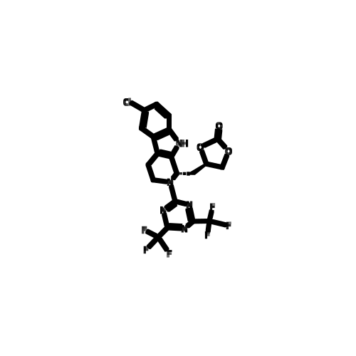 O=C1OC[C@@H](C[C@H]2c3[nH]c4ccc(Cl)cc4c3CCN2c2nc(C(F)(F)F)nc(C(F)(F)F)n2)O1